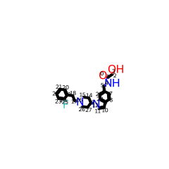 O=C(CO)NCc1ccc2ccn(C3CCN(CCc4ccccc4F)CC3)c2c1